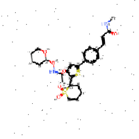 CCNC(=O)C=Cc1ccc(-c2ccc([C@@]3(CC(=O)NOC4CCCCO4)CCCCS3(=O)=O)s2)cc1